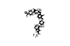 Cc1c(CN2CCC(Nc3ncnc4sc(CC(F)(F)F)cc34)CC2)ccc2c1cc(C#N)n2CC1(N2CCN([S+](C)[O-])CC2)CC1